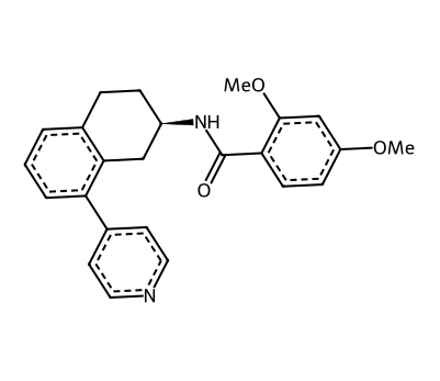 COc1ccc(C(=O)N[C@@H]2CCc3cccc(-c4ccncc4)c3C2)c(OC)c1